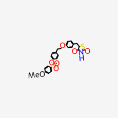 COc1ccc(S(=O)(=O)Oc2ccc(CCOc3ccc(CC4SC(=O)NC4=O)cc3)cc2)cc1